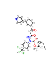 CC(C)(C)OC(=O)N(NC(=O)CC(=O)c1cccc(-c2ccncc2)c1)c1ccc(C(F)(F)F)cc1